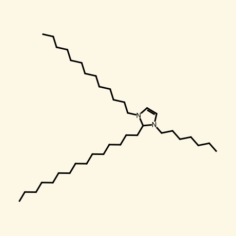 CCCCCCCCCCCCCCCC1N(CCCCCCC)C=CN1CCCCCCCCCCCCC